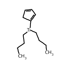 CCC[CH2][Ti]([CH2]CCC)[C]1=CC=CC1